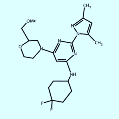 COCC1CN(c2cc(NC3CCC(F)(F)CC3)nc(-n3nc(C)cc3C)n2)CCO1